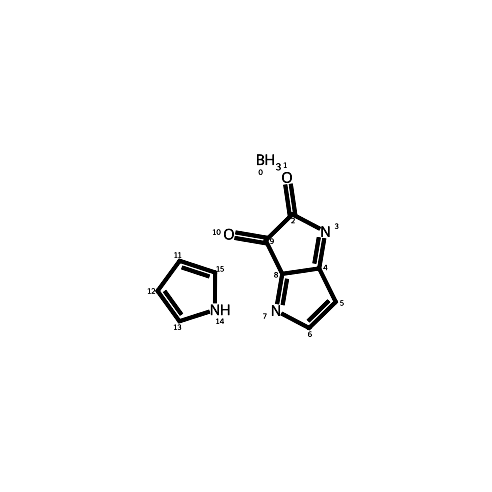 B.O=c1nc2ccnc-2c1=O.c1cc[nH]c1